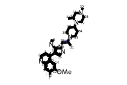 C=Nc1c(-c2ccnc3cc(F)c(OC)cc23)cnn1/C=C(\C)N1CCC(N2CCN(C)CC2C)CC1